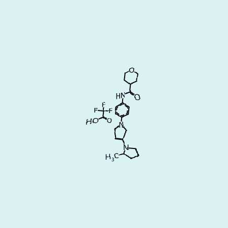 CC1CCCN1C1CCN(c2ccc(NC(=O)C3CCOCC3)cc2)C1.O=C(O)C(F)(F)F